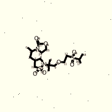 CC(CC1CN(C(C)(C)COCCS(=O)(=O)C(C)C)S(=O)(=O)C1)N1CCOC1=O